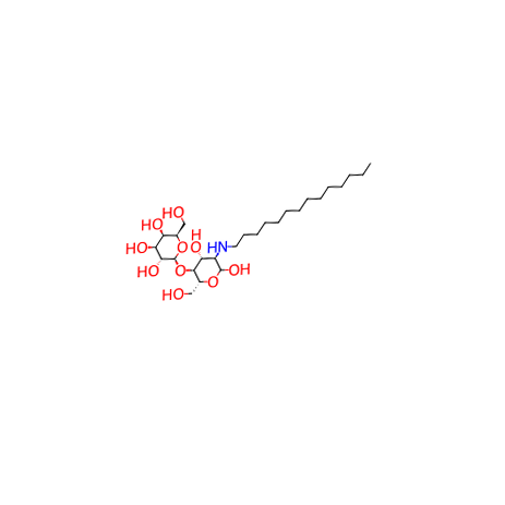 CCCCCCCCCCCCCCN[C@H]1C(O)O[C@H](CO)[C@@H](O[C@@H]2O[C@H](CO)[C@H](O)[C@H](O)[C@H]2O)[C@@H]1O